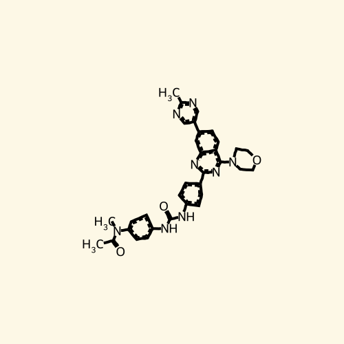 CC(=O)N(C)c1ccc(NC(=O)Nc2ccc(-c3nc(N4CCOCC4)c4ccc(-c5cnc(C)nc5)cc4n3)cc2)cc1